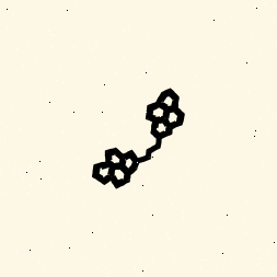 [CH](CCc1cc2ccc3cccc4ccc(c1)c2c34)c1cc2ccc3cccc4ccc(c1)c2c34